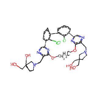 COc1nc(-c2cccc(-c3cccc(-c4cnc(CN5CCC(CO)(CO)C5)c(OC)n4)c3Cl)c2Cl)cnc1CN1CCC(CO)(CO)C1